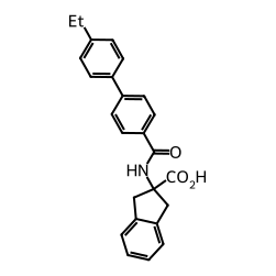 CCc1ccc(-c2ccc(C(=O)NC3(C(=O)O)Cc4ccccc4C3)cc2)cc1